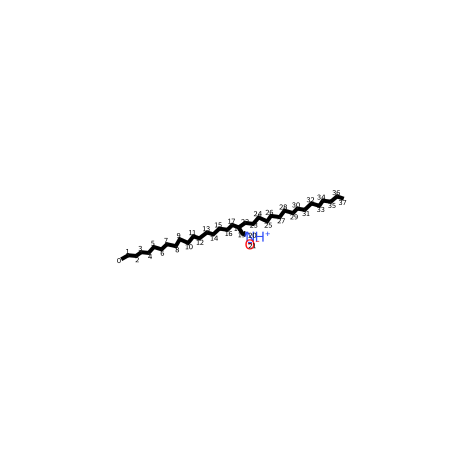 CCCCCCCCCCCCCCCCCCC(C=[NH+][O-])CCCCCCCCCCCCCCCC